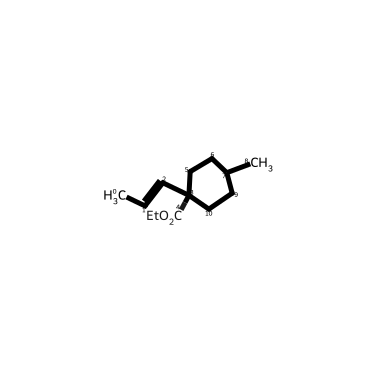 C/C=C/C1(C(=O)OCC)CCC(C)CC1